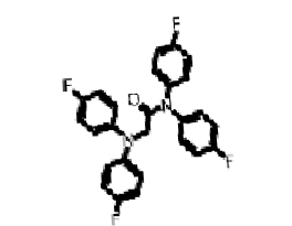 O=C(CN(c1ccc(F)cc1)c1ccc(F)cc1)N(c1ccc(F)cc1)c1ccc(F)cc1